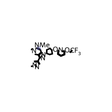 C=N/C(=C\c1c(C)c(-c2cnn(C)c2)nn1[C@H]1CC[C@@H](Oc2cccc(OCC(F)(F)F)n2)CC1)NC